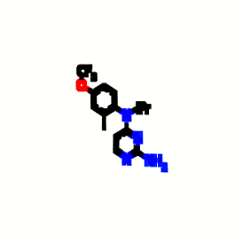 Cc1cc(OC(F)(F)F)ccc1N(c1ccnc(N)n1)C(C)C